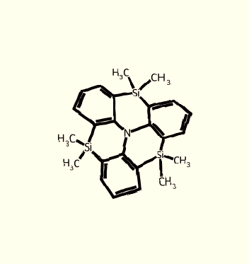 C[Si]1(C)c2cccc3c2N2c4c1cccc4[Si](C)(C)c1cccc(c12)[Si]3(C)C